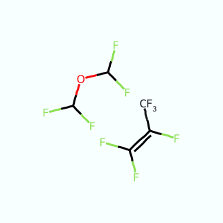 FC(F)=C(F)C(F)(F)F.FC(F)OC(F)F